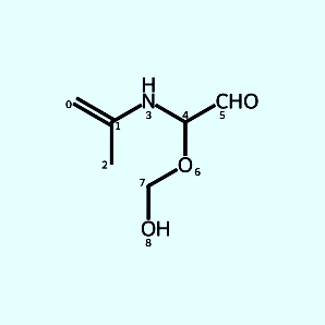 C=C(C)NC(C=O)OCO